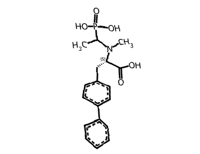 CC(N(C)[C@@H](Cc1ccc(-c2ccccc2)cc1)C(=O)O)P(=O)(O)O